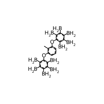 Bc1c(B)c(B)c(Oc2cccc(Oc3c(B)c(B)c(B)c(B)c3B)c2C)c(B)c1B